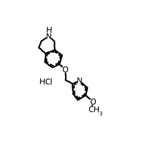 COc1ccc(COc2ccc3c(c2)CNCC3)nc1.Cl